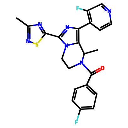 Cc1nsc(-c2nc(-c3ccncc3F)c3n2CCN(C(=O)c2ccc(F)cc2)C3C)n1